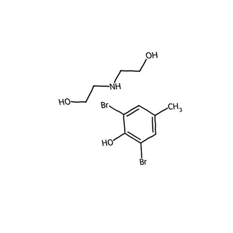 Cc1cc(Br)c(O)c(Br)c1.OCCNCCO